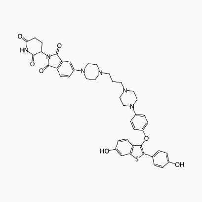 O=C1CCC(N2C(=O)c3ccc(N4CCN(CCCN5CCN(c6ccc(Oc7c(-c8ccc(O)cc8)sc8cc(O)ccc78)cc6)CC5)CC4)cc3C2=O)C(=O)N1